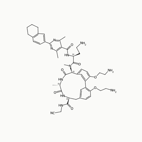 Cc1nc(-c2ccc3c(c2)CCCC3)nc(C)c1C(=O)N[C@@H](CCN)C(=O)N(C)[C@@H]1C(=O)N[C@@H](C)C(=O)N[C@H](C(=O)NCC#N)Cc2ccc(OCCN)c(c2)-c2cc1ccc2OCCN